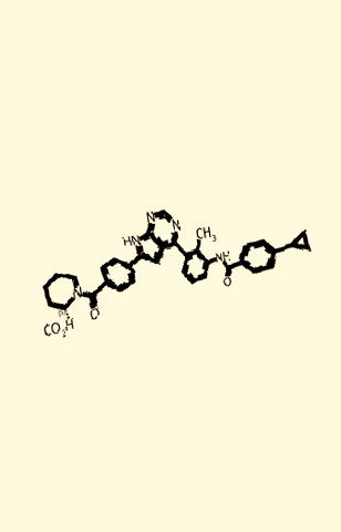 Cc1c(NC(=O)c2ccc(C3CC3)cc2)cccc1-c1ncnc2[nH]c(-c3ccc(C(=O)N4CCCC[C@H]4C(=O)O)cc3)cc12